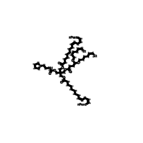 CC/C=C\CCCCOC(CCC(=O)OCC(COC(=O)CCCCCCC/C=C\C/C=C\CCCCC)(COC(=O)CCCCCCC/C=C\C/C=C\CCCCC)COC(=O)NCCN1CCCC1)OCCCC/C=C\CC